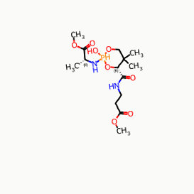 COC(=O)CCNC(=O)[C@@H]1O[PH](O)(N[C@H](C)C(=O)OC)OCC1(C)C